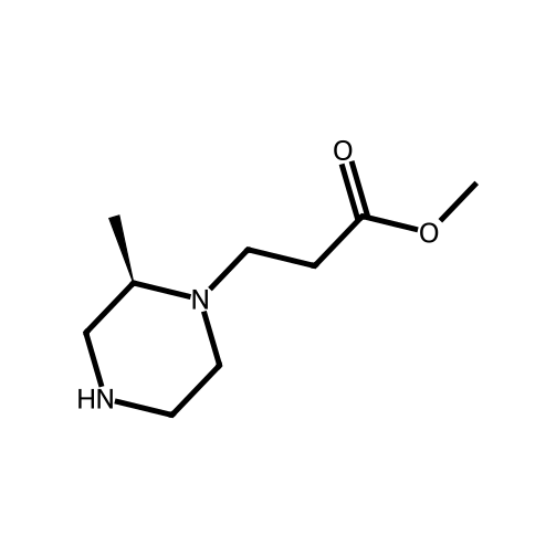 COC(=O)CCN1CCNC[C@H]1C